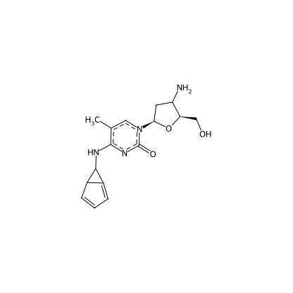 Cc1cn([C@H]2CC(N)[C@@H](CO)O2)c(=O)nc1NC1C2=CC=CC21